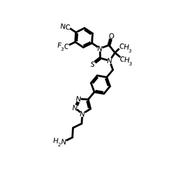 CC1(C)C(=O)N(c2ccc(C#N)c(C(F)(F)F)c2)C(=S)N1Cc1ccc(-c2cn(CCCN)nn2)cc1